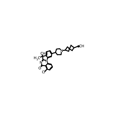 C#CC1CC2(C1)CC(N1CCC(c3ccc4c(c3)-n3c(nc(=O)c5c(Cl)cccc53)C4(C)C)CC1)C2